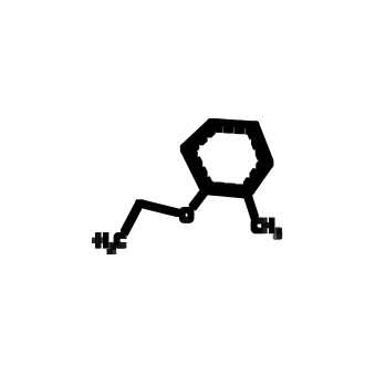 [CH2]COc1ccccc1C